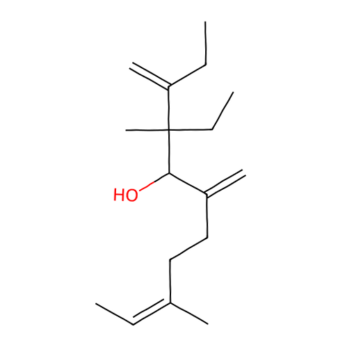 C=C(CC/C(C)=C\C)C(O)C(C)(CC)C(=C)CC